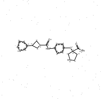 CC[C@H](C)C(=O)[C@]1(Oc2ccc(NC(=O)N3CC(c4cccnc4)C3)cc2)CCNC1